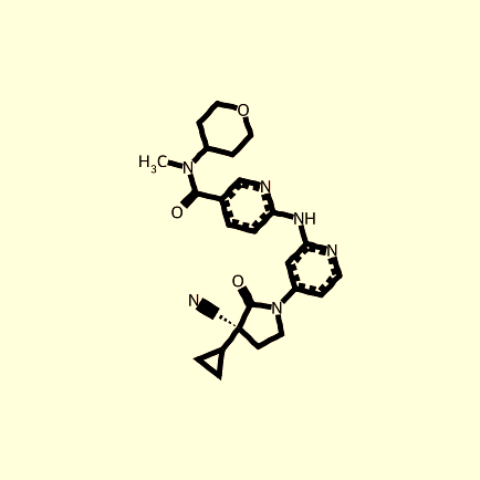 CN(C(=O)c1ccc(Nc2cc(N3CC[C@@](C#N)(C4CC4)C3=O)ccn2)nc1)C1CCOCC1